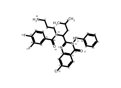 CC(C)CC(c1nc2cc(Cl)ccc2c(=O)n1Nc1ccccc1)N(CCCN)C(=O)c1ccc(F)c(F)c1